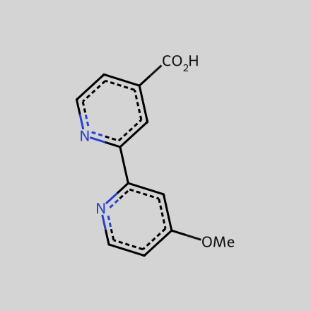 COc1ccnc(-c2cc(C(=O)O)ccn2)c1